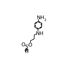 Nc1ccc(NCCCO[SH](=O)=O)cc1